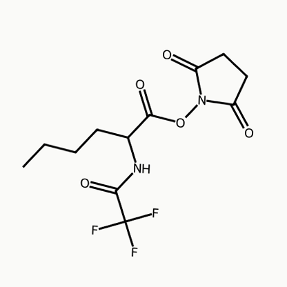 CCCCC(NC(=O)C(F)(F)F)C(=O)ON1C(=O)CCC1=O